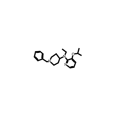 CCN(c1ncccc1OC(C)C)C1CCN(Cc2ccccc2)CC1